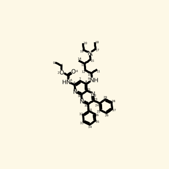 CCOC(=O)Nc1cc(NC(C)CC(C)CN(CC)CC)c2nc(-c3ccccc3)c(-c3ccccc3)nc2n1